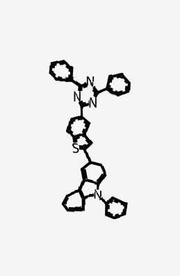 C1=CC2C3=CC(c4cc5cc(-c6nc(-c7ccccc7)nc(-c7ccccc7)n6)ccc5s4)CC=C3N(c3ccccc3)C2C=C1